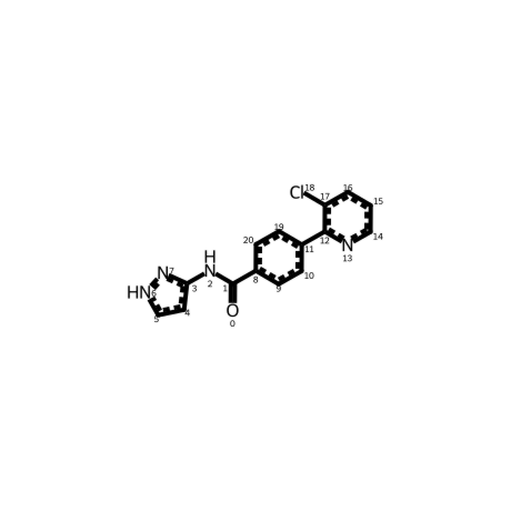 O=C(Nc1cc[nH]n1)c1ccc(-c2ncccc2Cl)cc1